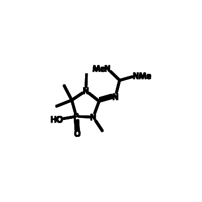 CNC(/N=C1\N(C)C(C)(C)P(=O)(O)N1C)NC